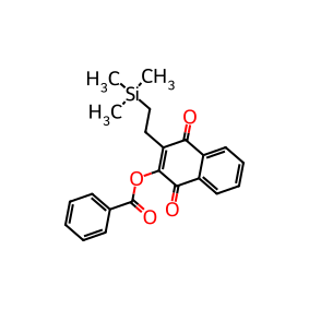 C[Si](C)(C)CCC1=C(OC(=O)c2ccccc2)C(=O)c2ccccc2C1=O